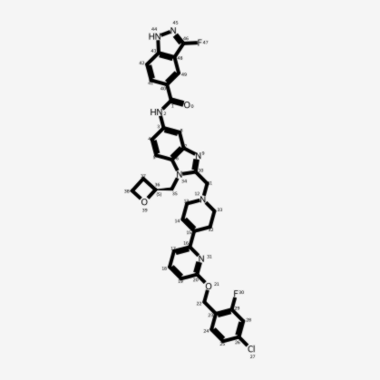 O=C(Nc1ccc2c(c1)nc(CN1CC=C(c3cccc(OCc4ccc(Cl)cc4F)n3)CC1)n2C[C@@H]1CCO1)c1ccc2[nH]nc(F)c2c1